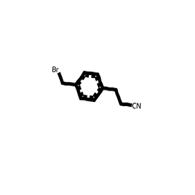 N#CCCc1ccc(CBr)cc1